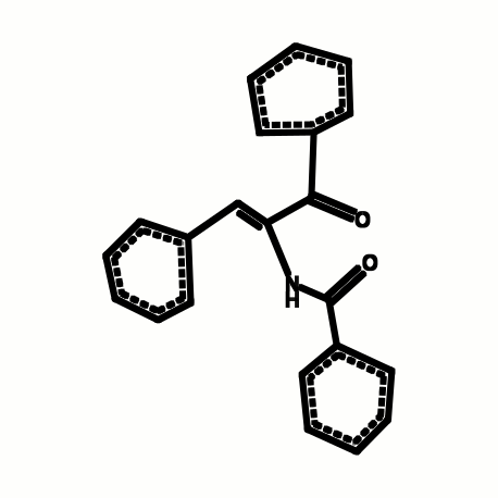 O=C(NC(=Cc1ccccc1)C(=O)c1ccccc1)c1ccccc1